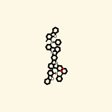 Cc1ccc2c(oc3ccccc32)c1N(c1ccccc1)c1cccc2c1c1cccc3c4cc5c(cc4n2c31)c1cccc2c3c(N(c4ccccc4-c4ccccc4)c4c(C)ccc6c4oc4ccccc46)cccc3n5c12